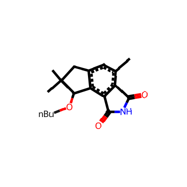 CCCCOC1c2c(cc(C)c3c2C(=O)NC3=O)CC1(C)C